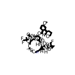 COc1ccc2c(O[C@@H]3C[C@H]4C(=O)N[C@]5(C(=O)NS(=O)(=O)C6(CF)CC6)C[C@H]5/C=C\CC[C@H](C)C[C@@H](C)[C@H](N(C(=O)O)C(C)(C)C(F)F)C(=O)N4C3)nc3c(c2c1)CCCO3